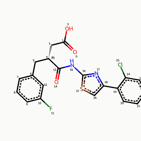 O=C(O)C[C@@H](Cc1cccc(F)c1)C(=O)Nc1nc(-c2ccccc2Cl)cs1